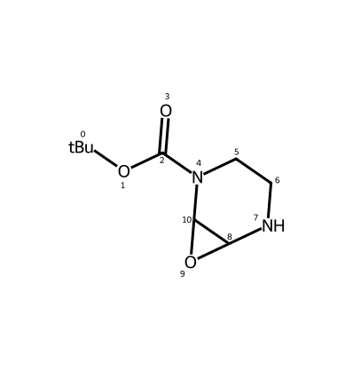 CC(C)(C)OC(=O)N1CCNC2OC21